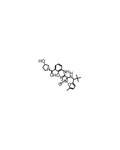 Cc1ccc(C(Nc2n[s+]([O-])nc2Nc2cccc(C(=O)N3CC[C@@H](O)C3)c2O)C(C)(C)C)o1